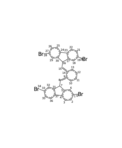 Brc1ccc2c(c1)C(C=c1ccccc1=CC1c3cc(Br)ccc3-c3ccc(Br)cc31)c1cc(Br)ccc1-2